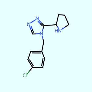 Clc1ccc(Cn2cnnc2C2CCCN2)cc1